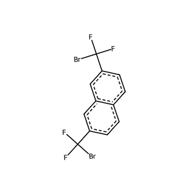 FC(F)(Br)c1ccc2ccc(C(F)(F)Br)cc2c1